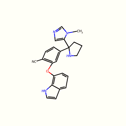 Cn1cncc1C1(c2ccc(C#N)c(Oc3cccc4cc[nH]c34)c2)CCCN1